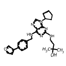 CC(C)(O)CCNc1nc(NCc2ccc(-c3ccoc3)cc2)c2ncn(C3CCCC3)c2n1